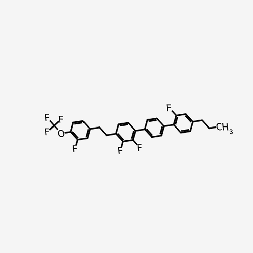 CCCc1ccc(-c2ccc(-c3ccc(CCc4ccc(OC(F)(F)F)c(F)c4)c(F)c3F)cc2)c(F)c1